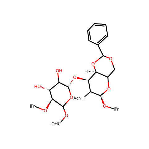 CC(=O)NC1[C@H](OC(C)C)OC2COC(c3ccccc3)O[C@@H]2[C@@H]1O[C@@H]1OC(OC=O)[C@@H](OC(C)C)[C@H](O)C1O